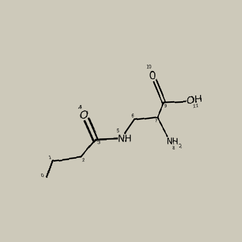 CCCC(=O)NCC(N)C(=O)O